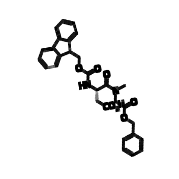 CN(CC(=O)OCc1ccccc1)C(=O)[C@H](CC(=O)O)NC(=O)OCC1c2ccccc2-c2ccccc21